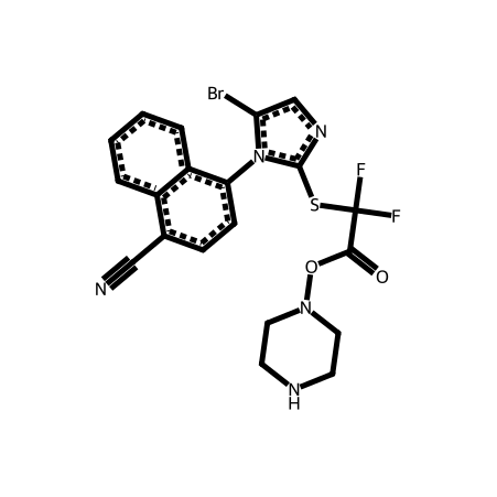 N#Cc1ccc(-n2c(Br)cnc2SC(F)(F)C(=O)ON2CCNCC2)c2ccccc12